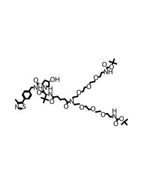 Cc1ncsc1-c1ccc(CNC(=O)[C@@H]2C[C@@H](O)CN2C(=O)[C@@H](NC(=O)CCCC(=O)N(CCOCCOCCOCCNC(=O)OC(C)(C)C)CCOCCOCCOCCNC(=O)OC(C)(C)C)C(C)(C)C)cc1